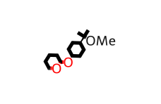 COC(C)(C)[C@H]1CC[C@H](OC2CCCCO2)CC1